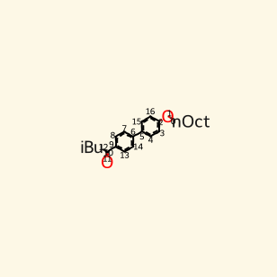 CCCCCCCCOc1ccc(-c2ccc(C(=O)C(C)CC)cc2)cc1